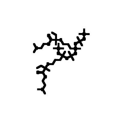 CCC(C)(SCCC[Si](C)(O[Si](C)(C)C)O[Si](C)(C)O[Si](C)(CCCSC(C)(CC)C(=O)OCCN(C)C)O[Si](C)(C)O[Si](C)(C)C)C(=O)OCCN(C)C